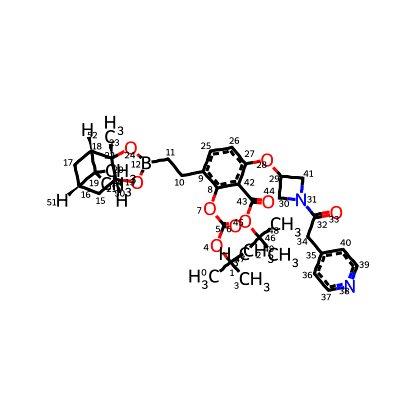 CC(C)(C)OC(=O)Oc1c(CCB2O[C@@H]3C[C@@H]4C[C@@H](C4(C)C)[C@]3(C)O2)ccc(OC2CN(C(=O)Cc3ccncc3)C2)c1C(=O)OC(C)(C)C